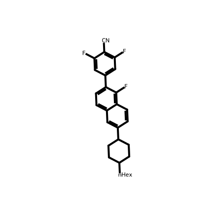 CCCCCCC1CCC(c2ccc3c(F)c(-c4cc(F)c(C#N)c(F)c4)ccc3c2)CC1